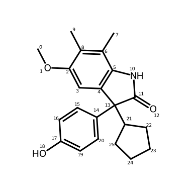 COc1cc2c(c(C)c1C)NC(=O)C2(c1ccc(O)cc1)C1CCCC1